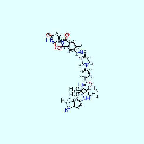 Cc1cc(N[C@H]2C(C)(C)[C@H](NC(=O)c3ccc(N4CCC(CN5Cc6cc7c(cc6C5)C(=O)N(C5CCC(=O)NC5=O)C7=O)CC4)cc3)C2(C)C)ccc1C#N